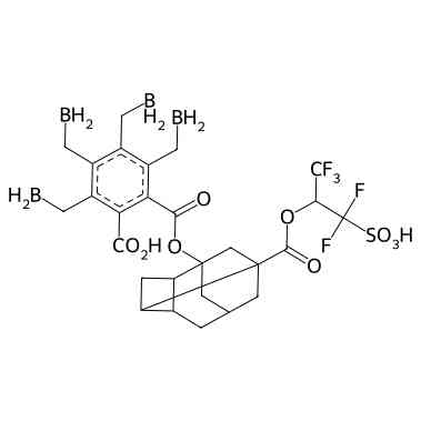 BCc1c(CB)c(CB)c(C(=O)OC23CC4CC5C2CC5C(C(=O)OC(C(F)(F)F)C(F)(F)S(=O)(=O)O)(C4)C3)c(C(=O)O)c1CB